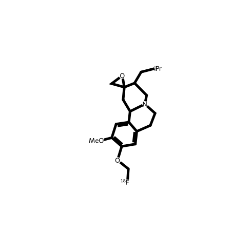 COc1cc2c(cc1OC[18F])CCN1CC(CC(C)C)C3(CO3)CC21